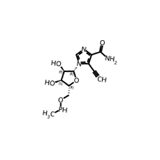 C#Cc1c(C(N)=O)ncn1[C@@H]1O[C@H](COPC)[C@@H](O)[C@H]1O